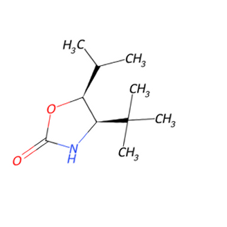 CC(C)[C@@H]1OC(=O)N[C@@H]1C(C)(C)C